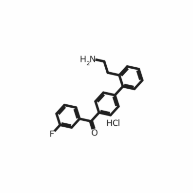 Cl.NCCc1ccccc1-c1ccc(C(=O)c2cccc(F)c2)cc1